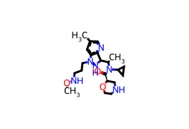 CONCCCN1NC([C@@H](C)N(C(=O)[C@H]2CNCCO2)C2CC2)c2ncc(C)cc21